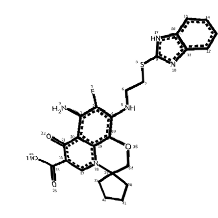 Nc1c(F)c(NCCSc2nc3ccccc3[nH]2)c2c3c1c(=O)c(C(=O)O)cn3C1(CCCC1)CO2